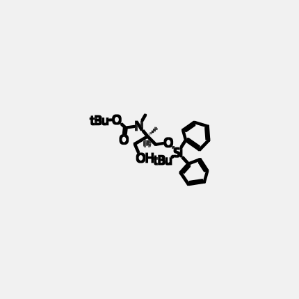 CN(C(=O)OC(C)(C)C)[C@](C)(CO)CO[Si](c1ccccc1)(c1ccccc1)C(C)(C)C